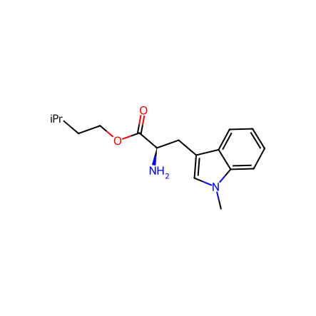 CC(C)CCOC(=O)[C@H](N)Cc1cn(C)c2ccccc12